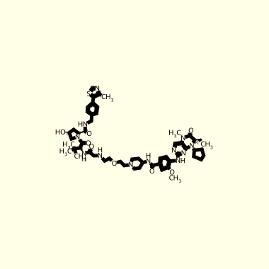 CC[C@@H]1C(=O)N(C)c2cnc(Nc3ccc(C(=O)NC4CCN(CCOCCNCC(=O)N[C@H](C(=O)N5C[C@H](O)C[C@H]5C(=O)NCc5ccc(-c6scnc6C)cc5)C(C)(C)C)CC4)cc3OC)nc2N1C1CCCC1